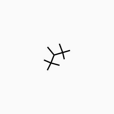 CC(C(C)(C)C)C(C)(C)C